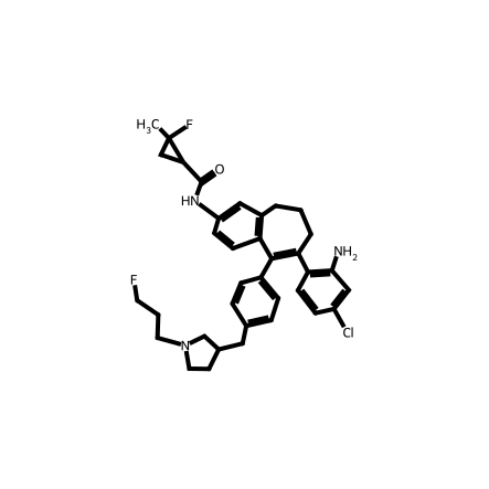 CC1(F)CC1C(=O)Nc1ccc2c(c1)CCCC(c1ccc(Cl)cc1N)=C2c1ccc(CC2CCN(CCCF)C2)cc1